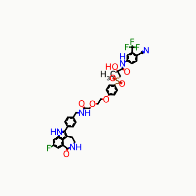 C[C@](O)(CS(=O)(=O)c1ccc(OCCOCC(=O)NCc2ccc(-c3[nH]c4cc(F)cc5c4c3CCNC5=O)cc2)cc1)C(=O)Nc1ccc(C#N)c(C(F)(F)F)c1